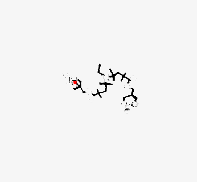 CCN(C(C)(C)CC(C)(C)C(=O)OCC12COP(=O)(OC1)OC2)C(C)(C)CC(C)(C)C(=O)OCC12COP(=O)(OC1)OC2